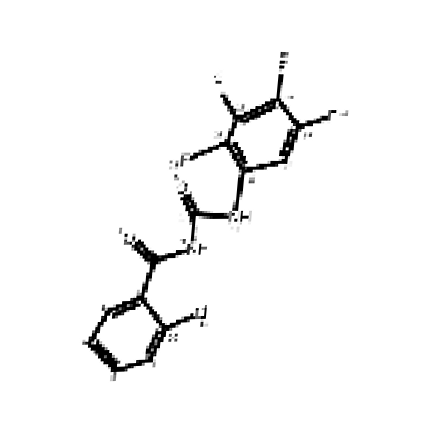 O=C(NC(=O)c1ccccc1Cl)Nc1cc(F)c(F)c(F)c1F